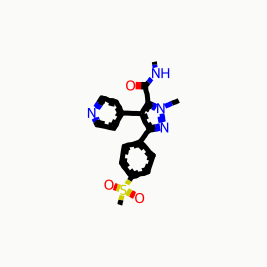 CNC(=O)c1c(-c2ccncc2)c(-c2ccc(S(C)(=O)=O)cc2)nn1C